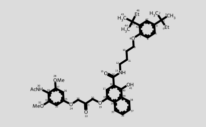 CCC(C)(C)c1ccc(OCCCCNC(=O)c2cc(OCC(=O)COc3cc(OC)c(NC(C)=O)c(OC)c3)c3ccccc3c2O)c(C(C)(C)CC)c1